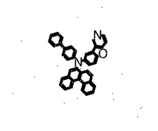 c1ccc(-c2ccc(N(c3ccc4oc5ccncc5c4c3)c3cc4ccccc4c4c3ccc3ccccc34)cc2)cc1